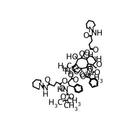 CC(=O)O[C@@]12CO[C@@H]1C[C@H](OC(=O)CCC(=O)NN1CCCCC1)[C@@]1(C)C(=O)[C@H](O)C3=C(C)[C@@H](OC(=O)[C@H](OC(=O)CCC(=O)NN4CCCCC4)[C@@H](NC(=O)OC(C)(C)C)c4ccccc4)C[C@@](O)([C@@H](OC(=O)c4ccccc4)[C@H]21)C3(C)C